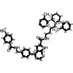 Cc1cccnc1[C@H]1CCC[C@@H](c2ncccc2C)N1CCCCNC(=O)c1cc2c(-c3ccc(CNC(=O)c4ccc(C(C)(C)C)cc4)cc3)ncnc2[nH]1